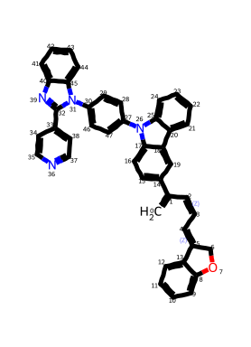 C=C(/C=C\C=C1/COc2ccccc21)c1ccc2c(c1)c1ccccc1n2-c1ccc(-n2c(-c3ccncc3)nc3ccccc32)cc1